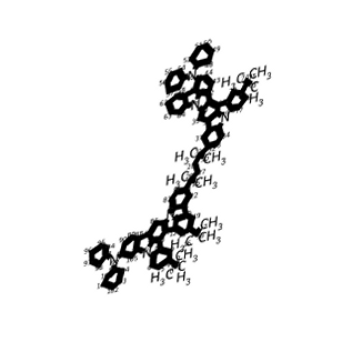 CC(C)(C)c1ccc2c(c1)c1c3c4cc(C(C)(C)C)cc5c6cc(C(C)(C)CCC(C)(C)c7ccc8c(c7)c7cc9c(c%10ccc(N(c%11ccccc%11)c%11ccccc%11)c%11c%12ccccc%12n9c%10%11)c9c%10cc(C(C)(C)C)ccc%10n8c79)ccc6n(c3cc3c6ccc(N(c7ccccc7)c7ccccc7)cc6n2c31)c54